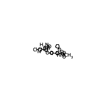 CS(=O)(=O)NC(=O)c1ccc(-c2ccc(OC(COC(N)=O)C[C@@H](O)c3ccc(Cl)nc3)cc2)cc1OC1CCCCC1